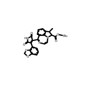 CC1c2cccc3c2N(C=CN=C3C2=C(c3cccc4c3OCO4)C(=O)NC2=O)C1C(=O)OC(C)(C)C